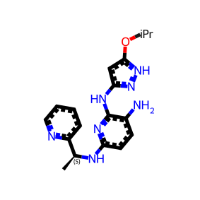 CC(C)Oc1cc(Nc2nc(N[C@@H](C)c3ccccn3)ccc2N)n[nH]1